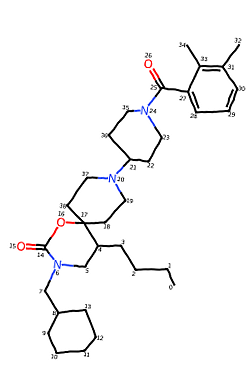 CCCCC1CN(CC2CCCCC2)C(=O)OC12CCN(C1CCN(C(=O)c3cccc(C)c3C)CC1)CC2